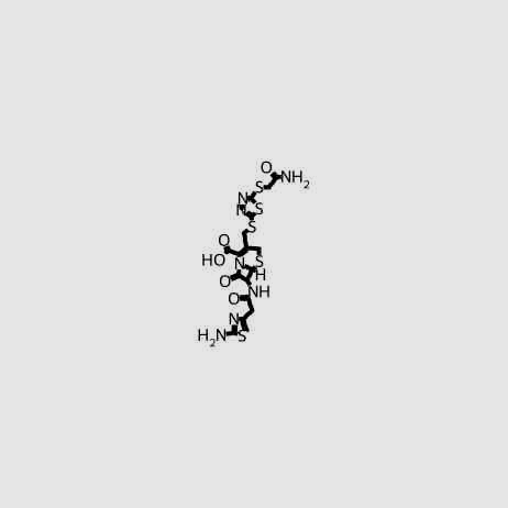 NC(=O)CSc1nnc(SCC2=C(C(=O)O)N3C(=O)C(NC(=O)Cc4csc(N)n4)[C@H]3SC2)s1